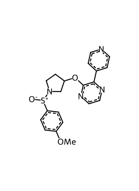 COc1ccc([S+]([O-])N2CCC(Oc3nccnc3-c3ccncc3)C2)cc1